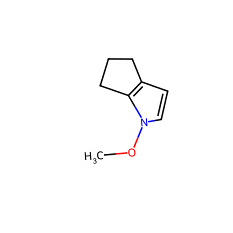 COn1ccc2c1CCC2